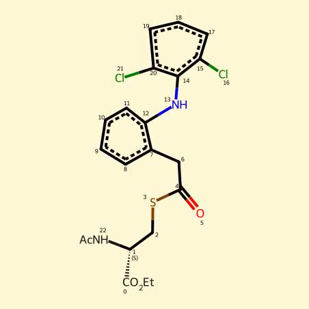 CCOC(=O)[C@@H](CSC(=O)Cc1ccccc1Nc1c(Cl)cccc1Cl)NC(C)=O